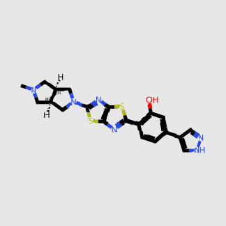 CN1C[C@@H]2CN(c3nc4sc(-c5ccc(-c6cn[nH]c6)cc5O)nc4s3)C[C@@H]2C1